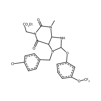 CCOC(=O)CN1C(=O)C2C(NC(Oc3cccc(OC(F)(F)F)c3)N2Cc2ccc(Cl)cc2)N(C)C1=O